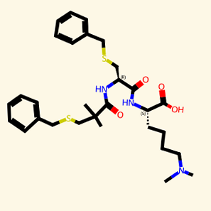 CN(C)CCCC[C@H](NC(=O)[C@H](CSCc1ccccc1)NC(=O)C(C)(C)CSCc1ccccc1)C(=O)O